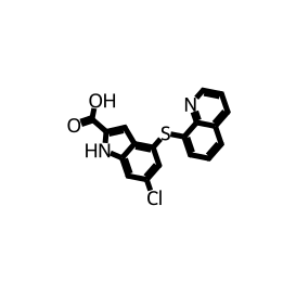 O=C(O)c1cc2c(Sc3cccc4cccnc34)cc(Cl)cc2[nH]1